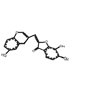 O=C1C(=CC2=COc3ccc(O)cc3C2)Oc2c1ccc(O)c2O